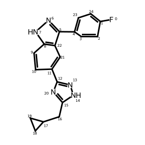 Fc1ccc(-c2n[nH]c3ccc(-c4n[nH]c(CC5CC5)n4)cc23)cc1